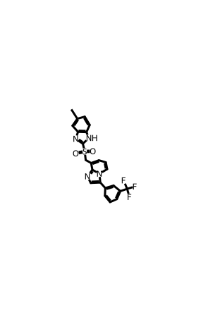 Cc1ccc2[nH]c(S(=O)(=O)Cc3cccn4c(-c5cccc(C(F)(F)F)c5)cnc34)nc2c1